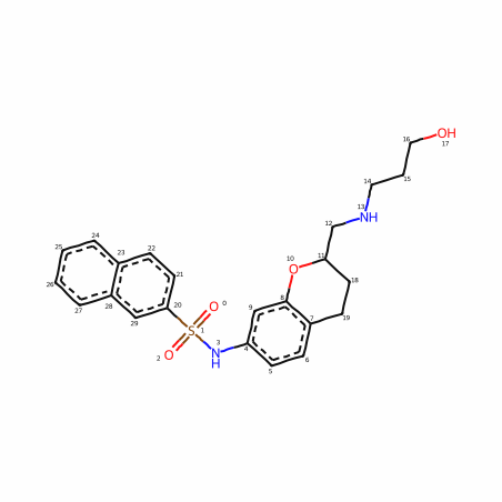 O=S(=O)(Nc1ccc2c(c1)OC(CNCCCO)CC2)c1ccc2ccccc2c1